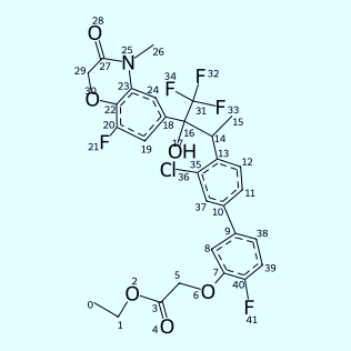 CCOC(=O)COc1cc(-c2ccc(C(C)C(O)(c3cc(F)c4c(c3)N(C)C(=O)CO4)C(F)(F)F)c(Cl)c2)ccc1F